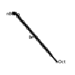 CCCCCCCC/C=C/CCCCCCCCOCCOCCOCCOCCOCCOCCOCCOCCOCCOCCOCCOCCOCCOCCOCCOCCOCCOCCOCCOCCOC(=O)CCN1CC[N+](C)(CCCC)CC1.[Br-]